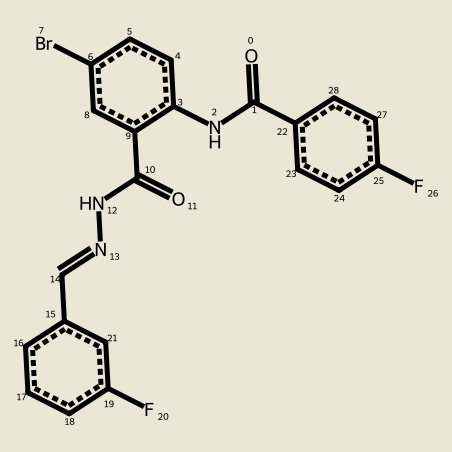 O=C(Nc1ccc(Br)cc1C(=O)NN=Cc1cccc(F)c1)c1ccc(F)cc1